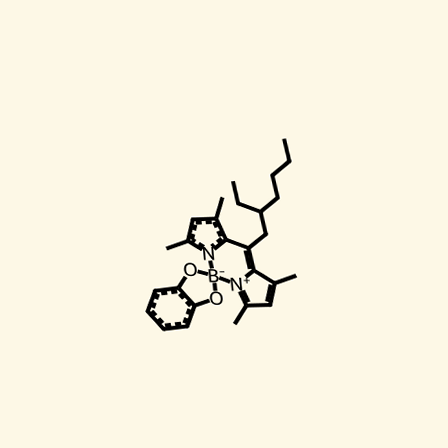 CCCCC(CC)CC1=C2C(C)=CC(C)=[N+]2[B-]2(Oc3ccccc3O2)n2c(C)cc(C)c21